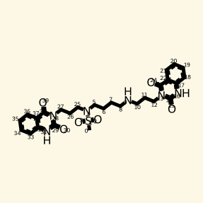 CS(=O)(=O)N(CCCCNCCCn1c(=O)[nH]c2ccccc2c1=O)CCCn1c(=O)[nH]c2ccccc2c1=O